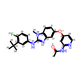 CC(=O)Nc1cc(Oc2ccc3c(c2)nc(Nc2ccc(F)c(C(C)(C)C)c2)n3C)ccn1